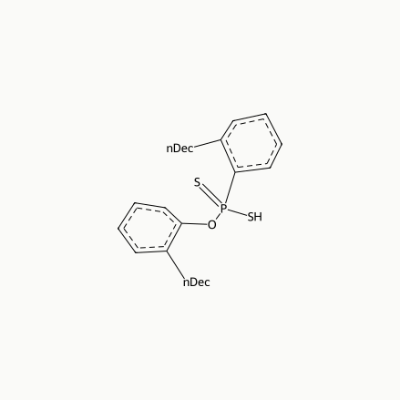 CCCCCCCCCCc1ccccc1OP(=S)(S)c1ccccc1CCCCCCCCCC